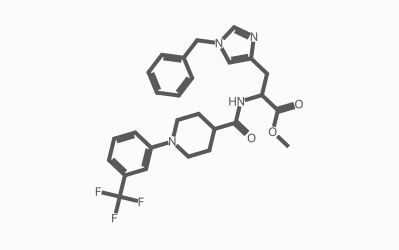 COC(=O)C(Cc1cn(Cc2ccccc2)cn1)NC(=O)C1CCN(c2cccc(C(F)(F)F)c2)CC1